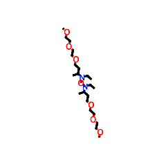 CCN(ON(CC)C(C)CCOCCOCCOC)C(C)CCOCCOCCOC